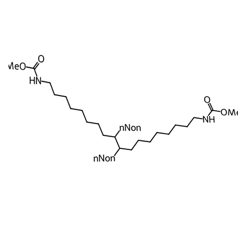 CCCCCCCCCC(CCCCCCCCNC(=O)OC)C(CCCCCCCCC)CCCCCCCCNC(=O)OC